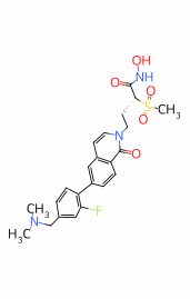 CN(C)Cc1ccc(-c2ccc3c(=O)n(CC[C@H](C(=O)NO)S(C)(=O)=O)ccc3c2)c(F)c1